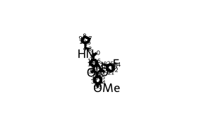 C=C(NCCc1ccccc1)c1ccc2c(c1)N(Cc1cccc(F)c1)C(=O)C(c1ccc(OC)cc1)C2=O